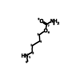 CNCCCCOC(N)=O